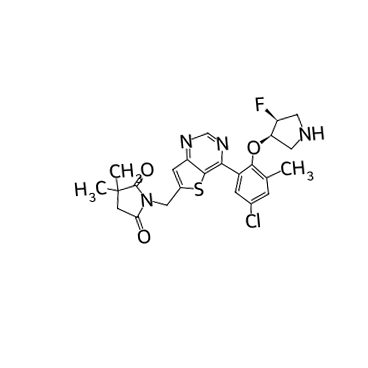 Cc1cc(Cl)cc(-c2ncnc3cc(CN4C(=O)CC(C)(C)C4=O)sc23)c1O[C@@H]1CNC[C@@H]1F